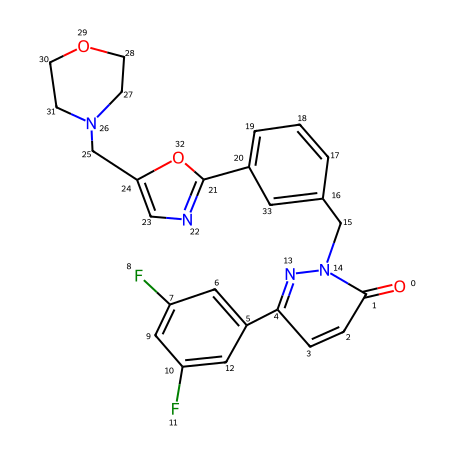 O=c1ccc(-c2cc(F)cc(F)c2)nn1Cc1cccc(-c2ncc(CN3CCOCC3)o2)c1